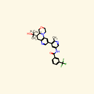 Cc1ncc(NC(=O)c2cccc(C(F)(F)F)c2)cc1-c1cnc2c(c1)N1CCOC[C@@H]1[C@H](C(C)(C)O)C2